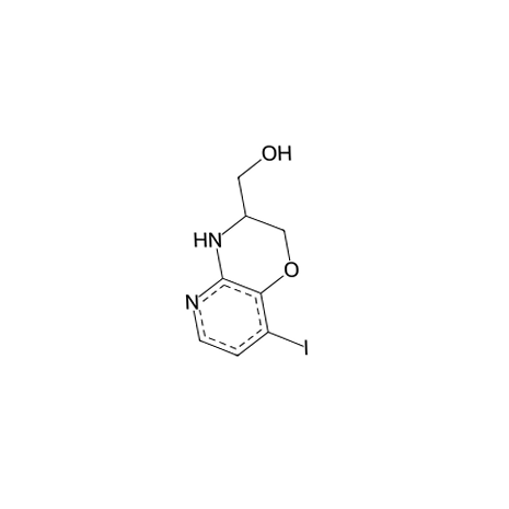 OCC1COc2c(I)ccnc2N1